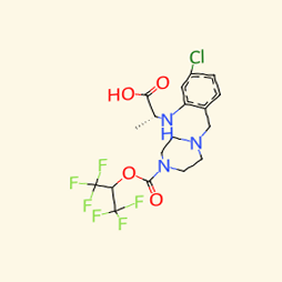 C[C@@H](Nc1cc(Cl)ccc1CN1CCN(C(=O)OC(C(F)(F)F)C(F)(F)F)CC1)C(=O)O